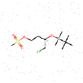 CC(C)(C)[Si](C)(C)O[C@H](CCl)CCOS(C)(=O)=O